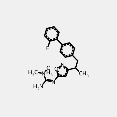 CC(Cc1ccc(-c2ccccc2F)cc1)c1cc(N=C(N)N(C)C)on1